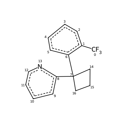 FC(F)(F)c1ccccc1C1(c2ccccn2)CCC1